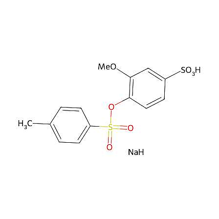 COc1cc(S(=O)(=O)O)ccc1OS(=O)(=O)c1ccc(C)cc1.[NaH]